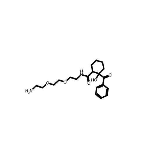 NCCOCCOCCNC(=O)C1CCCCC1(O)C(=O)c1ccccc1